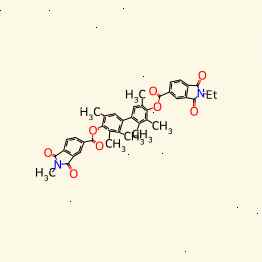 CCN1C(=O)c2ccc(C(=O)Oc3c(C)cc(-c4cc(C)c(OC(=O)c5ccc6c(c5)C(=O)N(C)C6=O)c(C)c4C)c(C)c3C)cc2C1=O